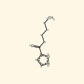 CCCCCC(=O)c1ccno1